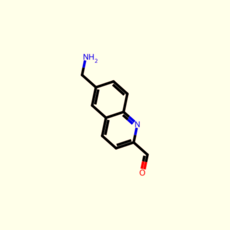 NCc1ccc2nc(C=O)ccc2c1